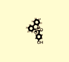 O=C(c1ccc(O)cc1)P1(=O)Oc2ccccc2-c2ccccc21